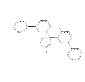 NC1=N[C@@]2(CO1)c1cc(-c3cccnc3)ccc1Oc1ccc(-c3ccc(F)nc3)cc12